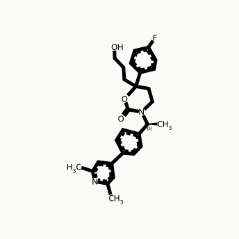 Cc1cc(-c2ccc([C@H](C)N3CCC(CCCO)(c4ccc(F)cc4)OC3=O)cc2)cc(C)n1